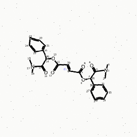 CN(C)C(=O)[C@H](OC(=O)/C=C/C(=O)O[C@@H](C(=O)N(C)C)c1ccccc1)c1ccccc1